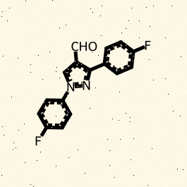 O=Cc1cn(-c2ccc(F)cc2)nc1-c1ccc(F)cc1